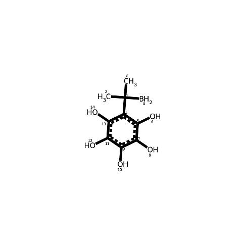 BC(C)(C)c1c(O)c(O)c(O)c(O)c1O